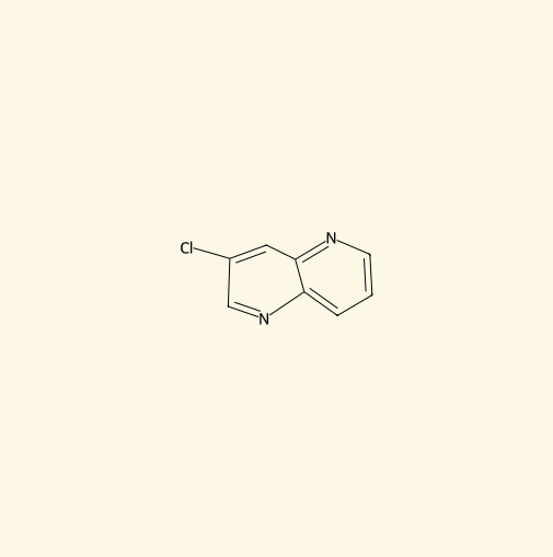 Clc1cnc2cccnc2c1